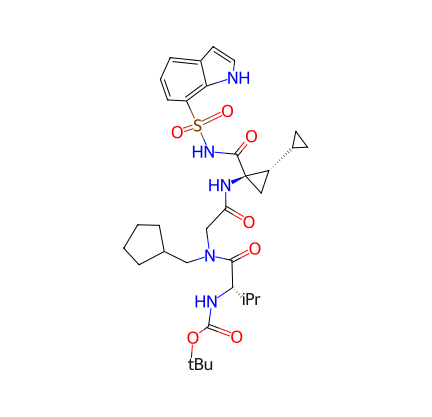 CC(C)[C@H](NC(=O)OC(C)(C)C)C(=O)N(CC(=O)N[C@]1(C(=O)NS(=O)(=O)c2cccc3cc[nH]c23)C[C@H]1C1CC1)CC1CCCC1